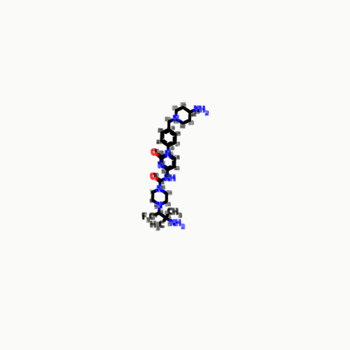 CC(C)(N)C(N1CCN(C(=O)Nc2ccn(-c3ccc(CN4CCC(N)CC4)cc3)c(=O)n2)CC1)C(F)(F)F